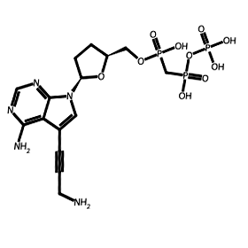 NCC#Cc1cn([C@H]2CC[C@@H](COP(=O)(O)CP(=O)(O)OP(=O)(O)O)O2)c2ncnc(N)c12